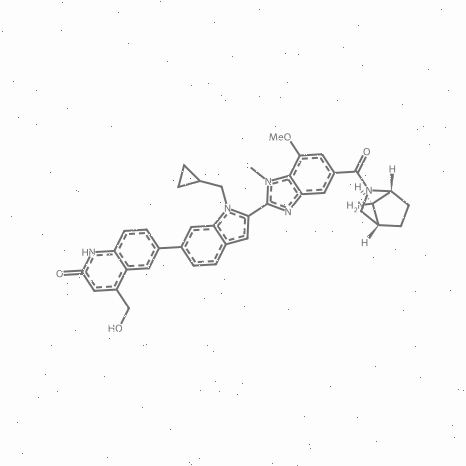 COc1cc(C(=O)N2C[C@H]3CC[C@@H]2[C@@H]3N)cc2nc(-c3cc4ccc(-c5ccc6[nH]c(=O)cc(CO)c6c5)cc4n3CC3CC3)n(C)c12